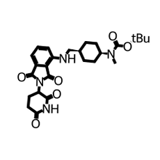 CN(C(=O)OC(C)(C)C)[C@H]1CC[C@@H](CNc2cccc3c2C(=O)N(C2CCC(=O)NC2=O)C3=O)CC1